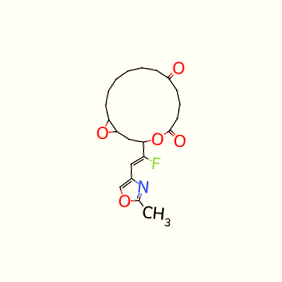 Cc1nc(C=C(F)C2CC3OC3CCCCCCC(=O)CCCC(=O)O2)co1